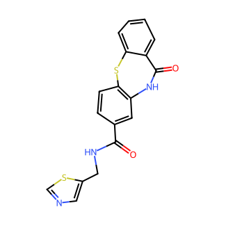 O=C(NCc1cncs1)c1ccc2c(c1)NC(=O)c1ccccc1S2